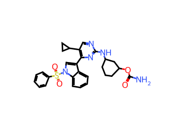 NC(=O)OC1CCCC(Nc2ncc(C3CC3)c(-c3cn(S(=O)(=O)c4ccccc4)c4ccccc34)n2)C1